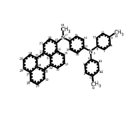 Cc1ccc(N(c2ccc(C)cc2)c2ccc(N(C)c3ccc4c5cccc6cccc(c7cccc3c74)c65)cc2)cc1